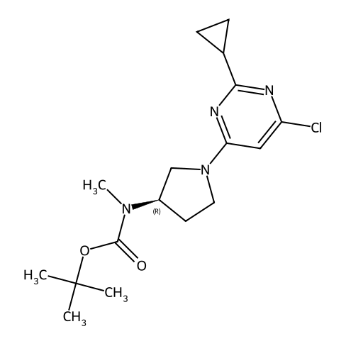 CN(C(=O)OC(C)(C)C)[C@@H]1CCN(c2cc(Cl)nc(C3CC3)n2)C1